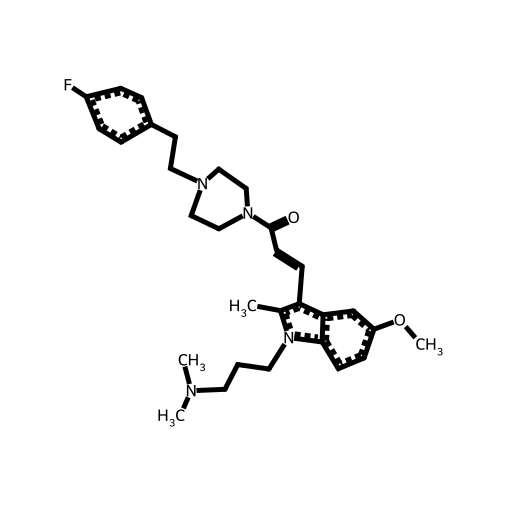 COc1ccc2c(c1)c(C=CC(=O)N1CCN(CCc3ccc(F)cc3)CC1)c(C)n2CCCN(C)C